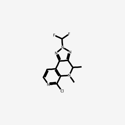 CC1c2nn(C(F)F)nc2-c2ccnc(Cl)c2N1C